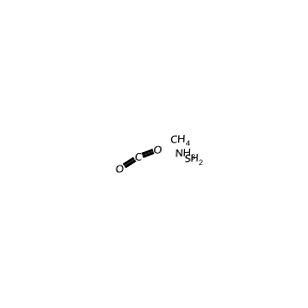 C.N.O=C=O.S